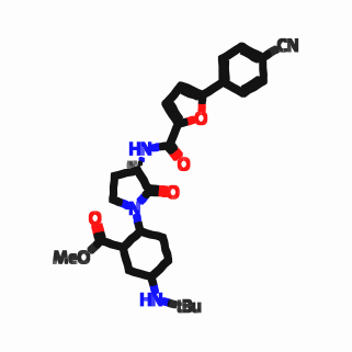 COC(=O)C1CC(NC(C)(C)C)CCC1N1CC[C@H](NC(=O)c2ccc(-c3ccc(C#N)cc3)o2)C1=O